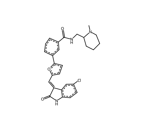 CN1CCCCC1CNC(=O)c1cccc(-c2ccc(/C=C3/C(=O)Nc4ccc(Cl)cc43)o2)c1